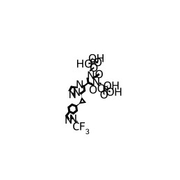 O=c1c(-c2cc([C@@H]3C[C@H]3c3ccc4cnn(CC(F)(F)F)c4c3)n3nccc3n2)cn(COP(=O)(O)O)c(=O)n1COP(=O)(O)O